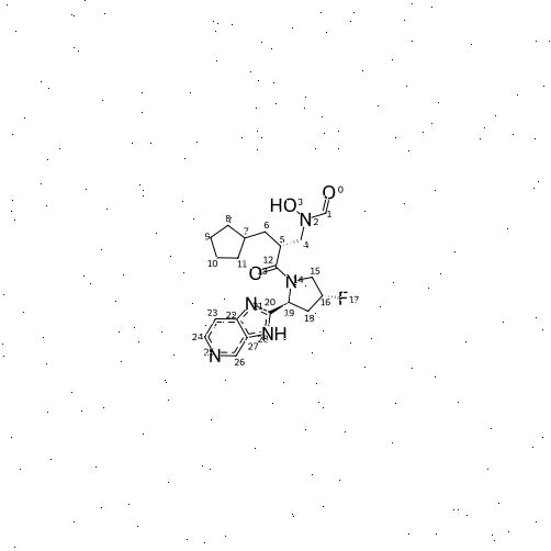 O=CN(O)C[C@@H](CC1CCCC1)C(=O)N1C[C@H](F)C[C@H]1c1nc2ccncc2[nH]1